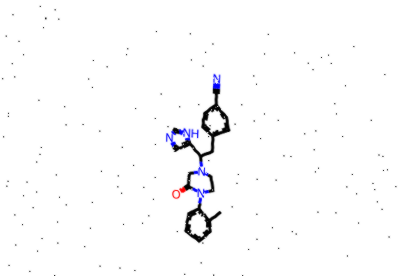 Cc1ccccc1N1CCN(C(Cc2ccc(C#N)cc2)c2cnc[nH]2)CC1=O